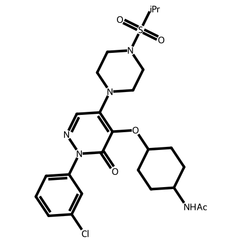 CC(=O)NC1CCC(Oc2c(N3CCN(S(=O)(=O)C(C)C)CC3)cnn(-c3cccc(Cl)c3)c2=O)CC1